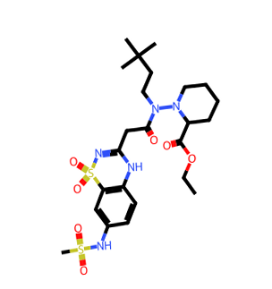 CCOC(=O)C1CCCCN1N(CCC(C)(C)C)C(=O)CC1=NS(=O)(=O)c2cc(NS(C)(=O)=O)ccc2N1